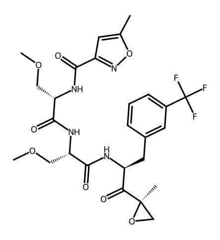 COC[C@H](NC(=O)c1cc(C)on1)C(=O)N[C@@H](COC)C(=O)N[C@@H](Cc1cccc(C(F)(F)F)c1)C(=O)[C@@]1(C)CO1